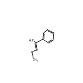 [CH2]ON=C(C)c1ccccc1